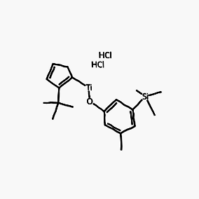 Cc1cc([O][Ti][C]2=C(C(C)(C)C)C=CC2)cc([Si](C)(C)C)c1.Cl.Cl